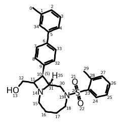 Cc1cccc(-c2ccc([C@@H]3C(CO)N4CCCCN(S(=O)(=O)c5ccccc5C)C[C@@H]34)cc2)c1